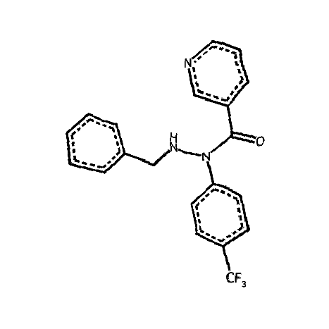 O=C(c1cccnc1)N(NCc1ccccc1)c1ccc(C(F)(F)F)cc1